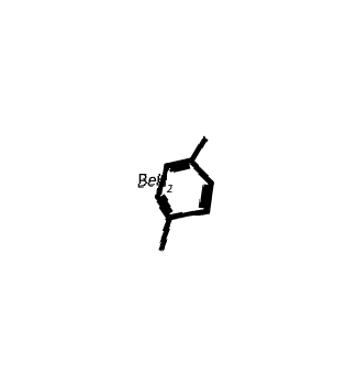 Cc1ccc(C)cc1.[BeH2]